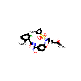 COC(=O)CC[C@H]1CN(S(=O)(=O)c2cccc(C(F)(F)F)c2)c2cc(/C(=N\O)NC(=O)c3c(Cl)cccc3OC)ccc2O1